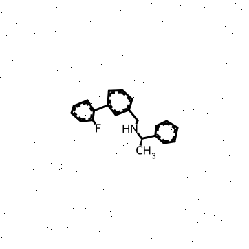 C[C@@H](NCc1cccc(-c2ccccc2F)c1)c1ccccc1